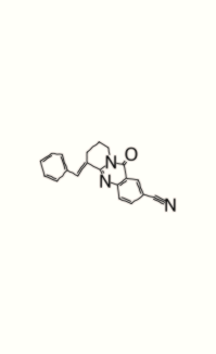 N#Cc1ccc2nc3n(c(=O)c2c1)CCCC3=Cc1ccccc1